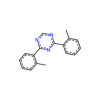 Cc1ccccc1-c1ncnc(-c2ccccc2C)n1